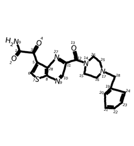 NC(=O)C(=O)c1csc2ncc(C(=O)N3CCN(Cc4ccccc4)CC3)nc12